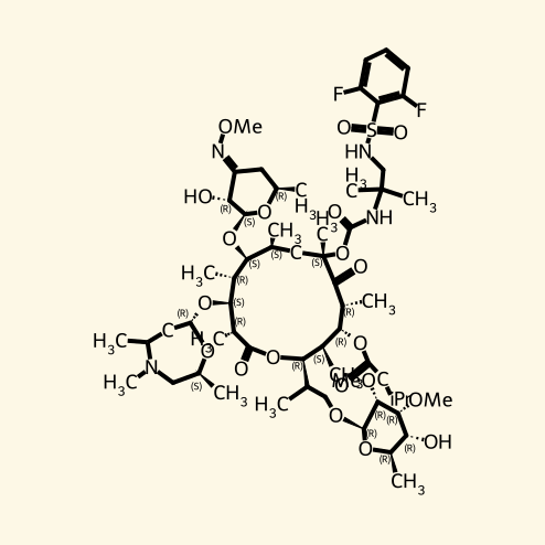 CON=C1C[C@@H](C)O[C@@H](O[C@@H]2[C@@H](C)[C@H](O[C@H]3CC(C)N(C)C[C@H](C)O3)[C@@H](C)C(=O)O[C@H](C(C)CO[C@@H]3O[C@H](C)[C@@H](O)[C@@H](OC)[C@H]3OC)[C@H](C)[C@@H](OC(=O)CC(C)C)[C@@H](C)C(=O)[C@@](C)(OC(=O)NC(C)(C)CNS(=O)(=O)c3c(F)cccc3F)C[C@@H]2C)[C@@H]1O